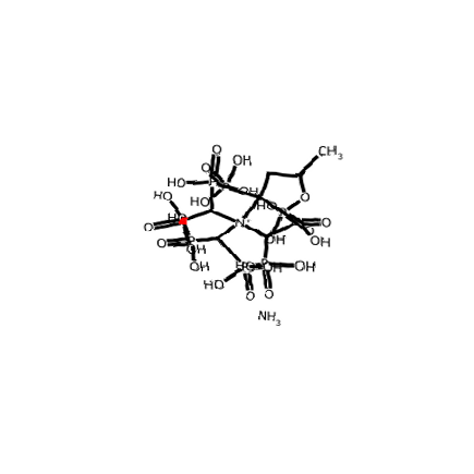 CC1CC([N+](C(P(=O)(O)O)P(=O)(O)O)(C(P(=O)(O)O)P(=O)(O)O)C(P(=O)(O)O)P(=O)(O)O)(P(=O)(O)O)P(=O)(O)O1.N